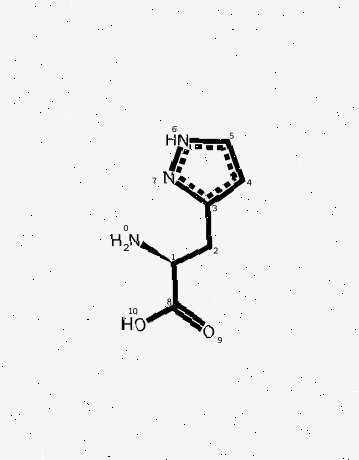 N[C@@H](Cc1cc[nH]n1)C(=O)O